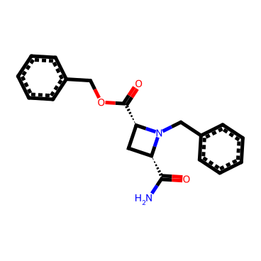 NC(=O)[C@@H]1C[C@H](C(=O)OCc2ccccc2)N1Cc1ccccc1